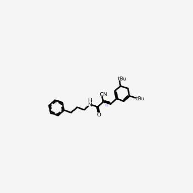 CC(C)(C)C1=CC(/C=C(\C#N)C(=O)NCCCc2ccccc2)=CC(C(C)(C)C)C1